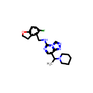 CC(c1cnc(NCc2c(F)ccc3c2CCO3)n2cnnc12)N1CCCCC1